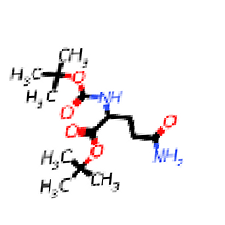 CC(C)(C)OC(=O)NC(CCC(N)=O)C(=O)OC(C)(C)C